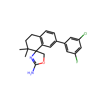 CC1(C)CCc2ccc(-c3cc(F)cc(Cl)c3)cc2C12COC(N)=N2